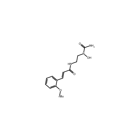 CCCCOc1ccccc1C=CC(=O)NCCN(O)C(N)=O